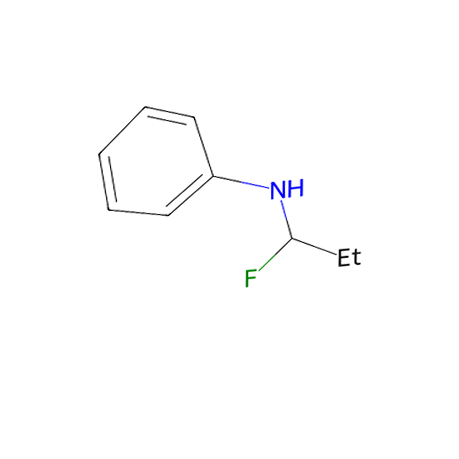 CCC(F)Nc1ccccc1